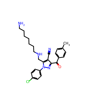 Cc1ccc(C(=O)c2nn(-c3ccc(Cl)cc3)c(CNCCCCCCCN)c2C#N)cc1